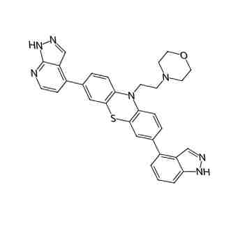 c1cc(-c2ccc3c(c2)Sc2cc(-c4ccnc5[nH]ncc45)ccc2N3CCN2CCOCC2)c2cn[nH]c2c1